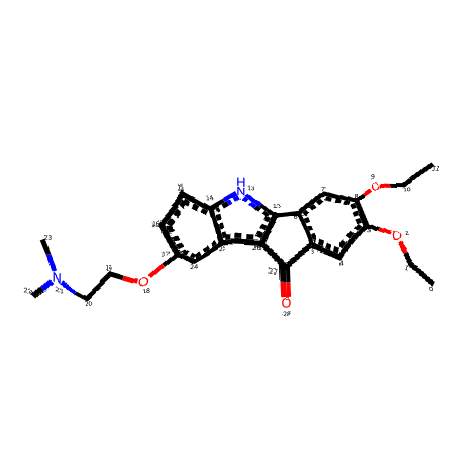 CCOc1cc2c(cc1OCC)-c1[nH]c3ccc(OCCN(C)C)cc3c1C2=O